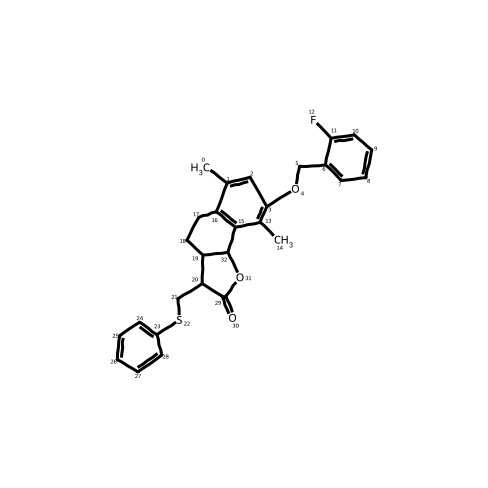 Cc1cc(OCc2ccccc2F)c(C)c2c1CCC1C(CSc3ccccc3)C(=O)OC21